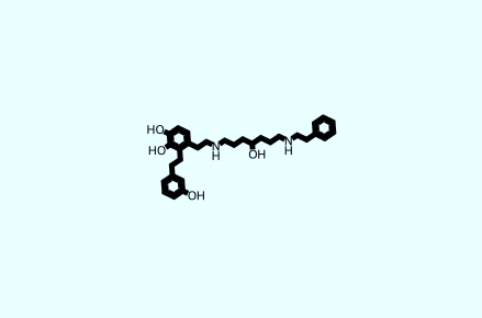 Oc1cccc(CCc2c(CCNCCCC(O)CCCNCCc3ccccc3)ccc(O)c2O)c1